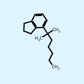 CCCCCC(C)(C)c1cccc2c1CCC2